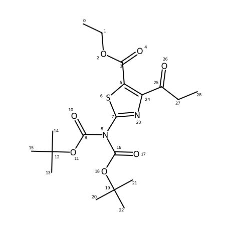 CCOC(=O)c1sc(N(C(=O)OC(C)(C)C)C(=O)OC(C)(C)C)nc1C(=O)CC